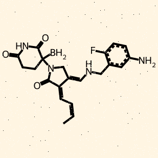 BC1(N2CC(=C\NCc3cc(N)ccc3F)/C(=C\C=C/C)C2=O)CCC(=O)NC1=O